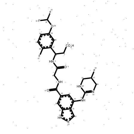 O=C(O)CC(NC(=O)CNC(=O)c1cc(NC2=NCC(F)CN2)c2cn[nH]c2c1)c1cc(OC(F)F)ccc1F